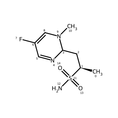 C[C@H](CC1N=CC(F)=CN1C)S(N)(=O)=O